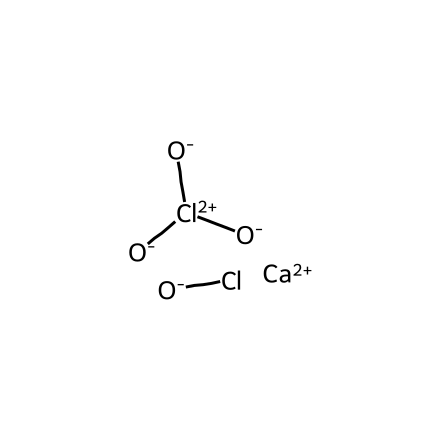 [Ca+2].[O-]Cl.[O-][Cl+2]([O-])[O-]